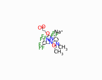 CCCC(=O)N(CC)c1ccc(C(F)(F)F)cc1CN(Cc1cc(C(F)(F)F)cc(C(F)(F)F)c1)c1ncc(OCCCC(=O)[O-])cn1.[Na+]